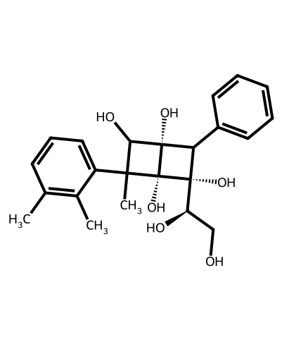 Cc1cccc(C2(C)C(O)[C@@]3(O)C(c4ccccc4)[C@@](O)([C@H](O)CO)[C@@]23O)c1C